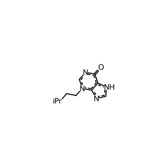 CC(C)CCn1cnc(=O)c2[nH]cnc21